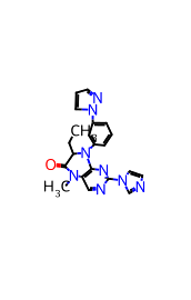 CCC1C(=O)N(C)c2cnc(-n3ccnc3)nc2N1c1cccc(-n2cccn2)c1